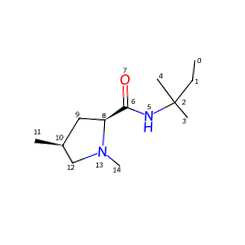 CCC(C)(C)NC(=O)[C@@H]1C[C@H](C)CN1C